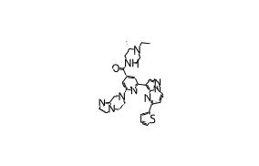 CCN(CC)[C@@H](C)CNC(=O)c1cc(-c2cnn3ccc(-c4cccs4)nc23)nc(N2CCn3ccnc3C2)c1